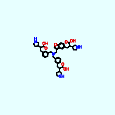 O=C(O)C(Cc1cccc(CN(Cc2cccc(CC(C(=O)O)C3CCNC3)c2)Cc2coc3ccc(CC(C(=O)O)C4CCNC4)cc23)c1)C1CCNC1